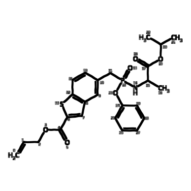 C=CCOC(=O)c1cc2cc(CP(=O)(NC(C)C(=O)OC(C)C)Oc3ccccc3)ccc2s1